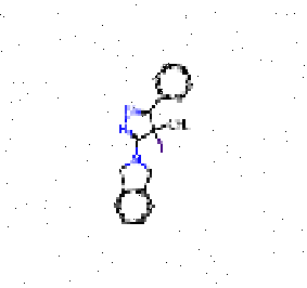 CC1(I)C(c2ccccc2)=NN=C1N1Cc2ccccc2C1